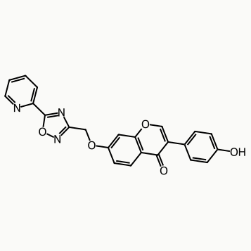 O=c1c(-c2ccc(O)cc2)coc2cc(OCc3noc(-c4ccccn4)n3)ccc12